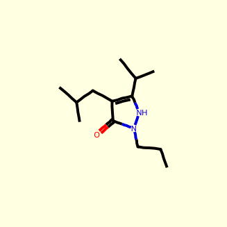 CCCn1[nH]c(C(C)C)c(CC(C)C)c1=O